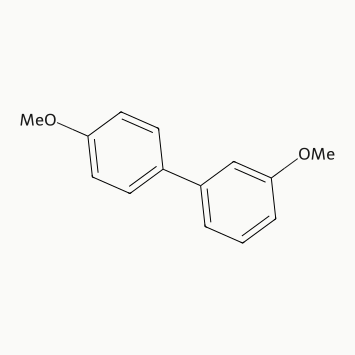 COc1ccc(-c2cccc(OC)c2)cc1